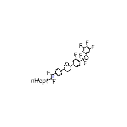 CCCCCCC/C(F)=C(\F)c1ccc(C2CCC(c3ccc(C(F)(F)Oc4cc(F)c(F)c(F)c4)c(F)c3)OC2)cc1